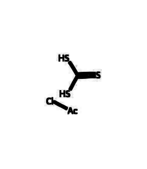 CC(=O)Cl.S=C(S)S